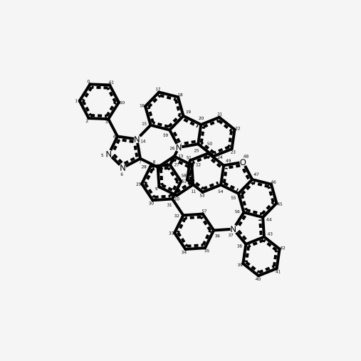 c1ccc(-c2nnc(-c3ccccc3)n2-c2cccc3c4ccccc4n(-c4cccc(-c5cccc(-n6c7ccccc7c7ccc8oc9ccccc9c8c76)c5)c4)c23)cc1